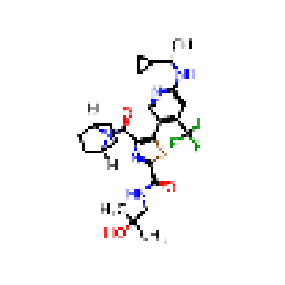 C[C@H](Nc1cc(C(F)(F)F)c(-c2sc(C(=O)NCC(C)(C)O)nc2C(=O)N2[C@H]3CC[C@H]2CC3)cn1)C1CC1